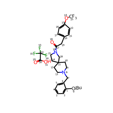 CC(C)COc1ccccc1CN1CCC2(CC1)CCN(C(=O)Cc1ccc(OC(F)(F)F)cc1)C2.O=C(O)C(F)(F)F